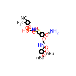 CCCCOc1cccc(C(=O)NCCOc2cc3cc(S(=O)(=O)NCP(=O)(O)Oc4ccc(C#N)c(C(F)(F)F)c4)sc3cc2OCCN)c1OCCCC